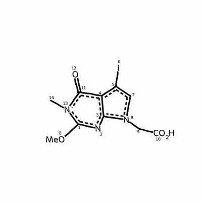 COc1nc2c(c(I)cn2CC(=O)O)c(=O)n1C